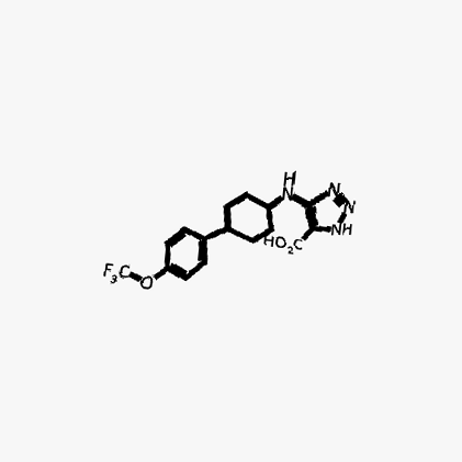 O=C(O)c1[nH]nnc1NC1CCC(c2ccc(OC(F)(F)F)cc2)CC1